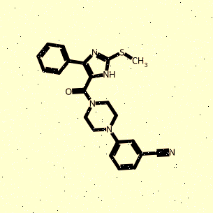 CSc1nc(-c2ccccc2)c(C(=O)N2CCN(c3cccc(C#N)c3)CC2)[nH]1